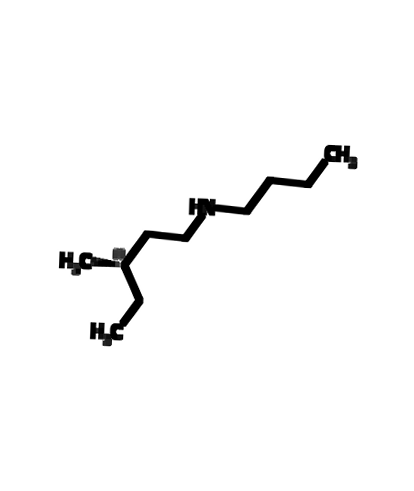 CCCCNCC[C@@H](C)CC